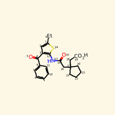 CCc1cc(C(=O)c2ccccc2)c(NC(=O)CC2(CC(=O)O)CCCC2)s1